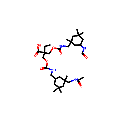 CCC(COC(=O)NCC1CC(C)(C)CC(C)(CNC(C)=O)C1)(COC(=O)NCC1(C)CC(NC=O)CC(C)(C)C1)C(=O)O